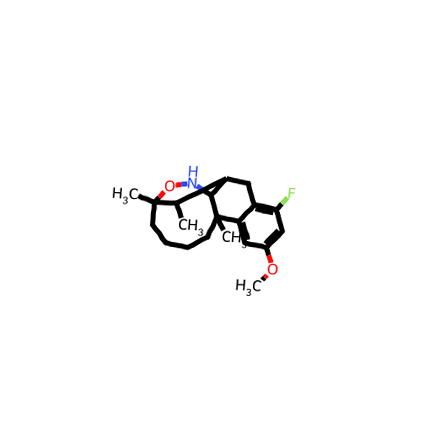 COc1cc(F)c2c(c1)C1(C)CCCCC3(C)ONC1C(C2)C3C